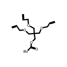 C=CCOCC(COCC=C)(COCC=C)COC(=O)C(C)CC